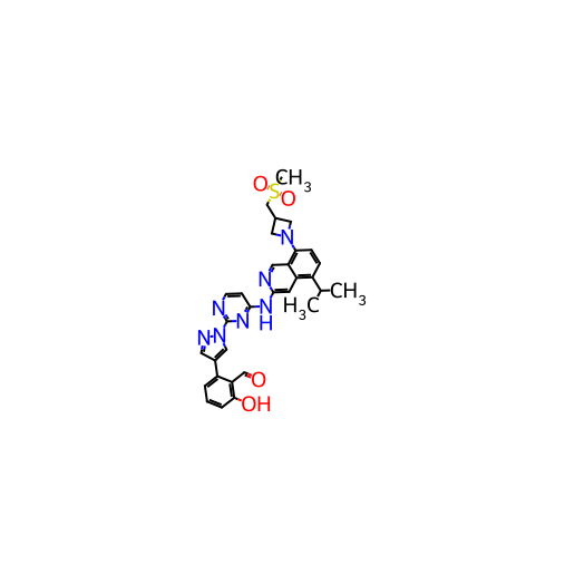 CC(C)c1ccc(N2CC(CS(C)(=O)=O)C2)c2cnc(Nc3ccnc(-n4cc(-c5cccc(O)c5C=O)cn4)n3)cc12